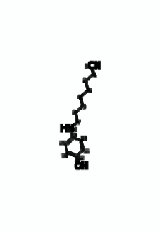 N#CCCCCCCCNc1ccc(O)cc1